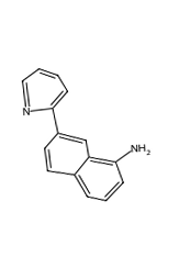 Nc1cccc2ccc(-c3ccccn3)cc12